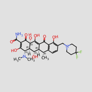 C[C@H]1c2ccc(CN3CCC(F)(F)CC3)c(O)c2C(=O)C2=C(O)[C@]3(O)C(=O)C(C(N)=O)=C(O)[C@@H](N(C)C)[C@@H]3[C@@H](O)[C@@H]21